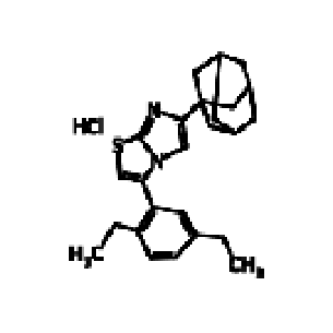 CCc1ccc(CC)c(-c2csc3nc(C45CC6CC(CC(C6)C4)C5)cn23)c1.Cl